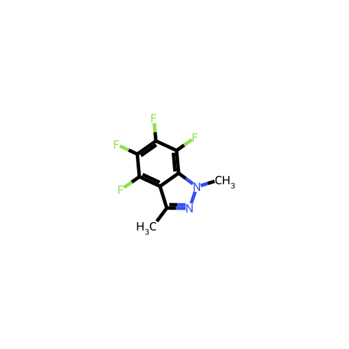 Cc1nn(C)c2c(F)c(F)c(F)c(F)c12